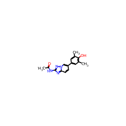 CC(=O)Nc1nc2ccc(-c3cc(C)c(O)c(C)c3)cn2n1